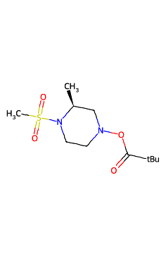 C[C@H]1CN(OC(=O)C(C)(C)C)CCN1S(C)(=O)=O